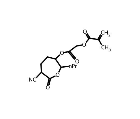 C=C(C)C(=O)OCC(=O)OC1CCC(C#N)C(=O)OC1CCC